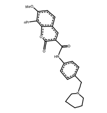 CCCc1c(OC)ccc2cc(C(=O)Nc3ccc(CN4CCCCC4)cc3)c(=O)oc12